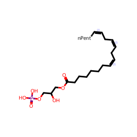 CCCCC/C=C\C/C=C\C/C=C\CCCCCCC(=O)OCC(O)COP(=O)(O)O